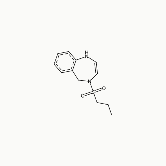 CCCS(=O)(=O)N1C=CNc2ccccc2C1